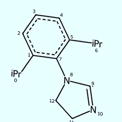 CC(C)c1cccc(C(C)C)c1N1[C]=NCC1